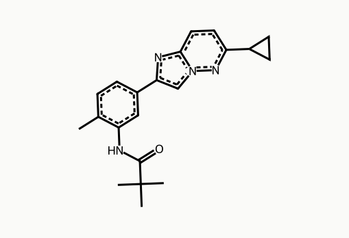 Cc1ccc(-c2cn3nc(C4CC4)ccc3n2)cc1NC(=O)C(C)(C)C